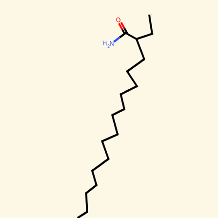 [CH2]CC(CCCCCCCCCCCCCC)C(N)=O